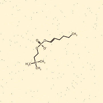 CCCCC=COP(=O)([O-])OCC[N+](C)(C)C